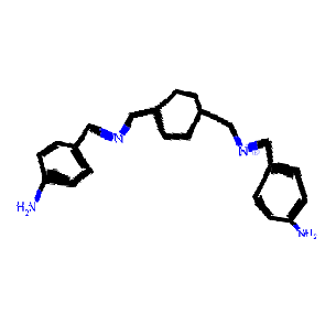 Nc1ccc(C=NCC2CCC(C/N=C/c3ccc(N)cc3)CC2)cc1